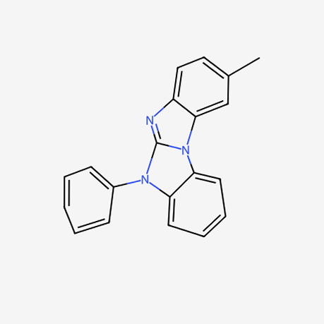 Cc1ccc2nc3n(-c4ccccc4)c4ccccc4n3c2c1